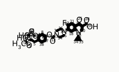 CP(=O)(O)C(Cc1ccc(OC(=O)N2CCN(c3cc4c(cc3F)c(=O)c(C(=O)O)cn4C3CC3)CC2)cc1)P(=O)(O)O